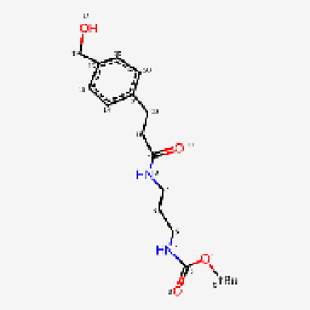 CC(C)(C)OC(=O)NCCCNC(=O)CCc1ccc(CO)cc1